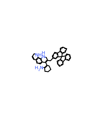 NC1=C(C2=C(Cc3ccc4c(c3)C3(c5ccccc5-c5ccccc53)c3ccccc3-4)CNc3c2ccc2c3NCC=C2)CCCC1